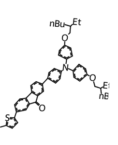 CCCCC(CC)COc1ccc(N(c2ccc(OCC(CC)CCCC)cc2)c2ccc(-c3ccc4c(c3)C(=O)c3cc(-c5ccc(C=O)s5)ccc3-4)cc2)cc1